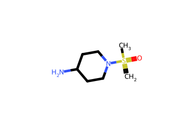 C=S(C)(=O)N1CCC(N)CC1